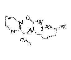 C[C@H](c1ncccn1)N(Cc1ccc(Br)nn1)C(=O)O